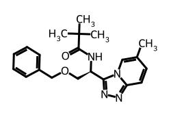 Cc1ccc2nnc([C@@H](COCc3ccccc3)NC(=O)C(C)(C)C)n2c1